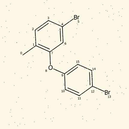 Cc1ccc(Br)cc1Oc1ccc(Br)cc1